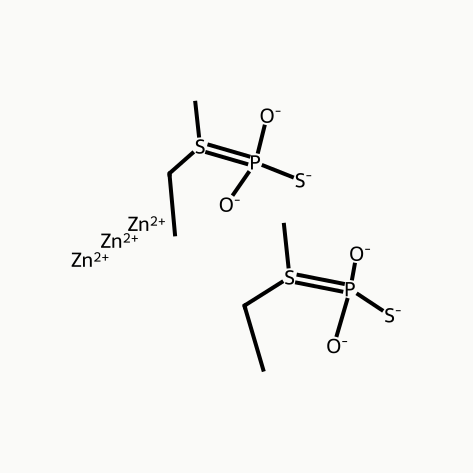 CCS(C)=P([O-])([O-])[S-].CCS(C)=P([O-])([O-])[S-].[Zn+2].[Zn+2].[Zn+2]